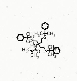 C=C(C)C(=O)NC(CCSC(C)(C)c1ccccc1)(CCSC(C)(C)c1ccccc1)CCSC(C)(C)c1ccccc1